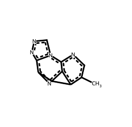 Cc1cnc2c3nc(c4nncn42)Cc13